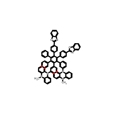 CN1c2ccccc2N(c2cccc(-c3c(-c4ccccc4)c(-c4ccccc4)c(-c4ccc(-c5nc6ccccc6o5)cc4)c(-c4ccc(-c5nc6ccccc6o5)cc4)c3-c3cccc(N4c5ccccc5N(C)c5ccccc54)c3)c2)c2ccccc21